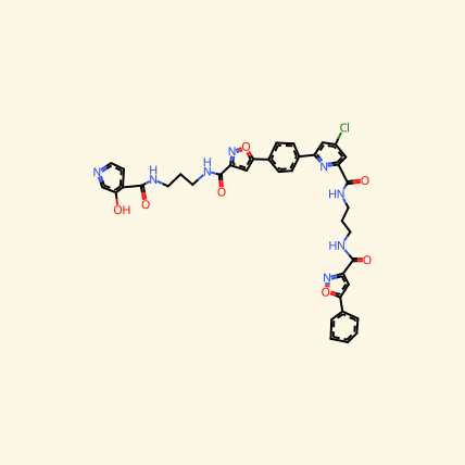 O=C(NCCCNC(=O)c1cc(Cl)cc(-c2ccc(-c3cc(C(=O)NCCCNC(=O)c4ccncc4O)no3)cc2)n1)c1cc(-c2ccccc2)on1